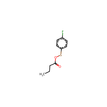 CCCC(=O)OSc1ccc(F)cc1